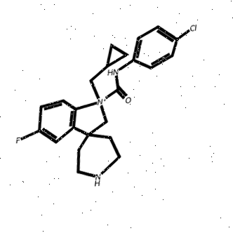 O=C(Nc1ccc(Cl)cc1)[N+]1(CC2CC2)CC2(CCNCC2)c2cc(F)ccc21